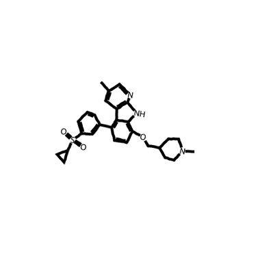 Cc1cnc2[nH]c3c(OCC4CCN(C)CC4)ccc(-c4cccc(S(=O)(=O)C5CC5)c4)c3c2c1